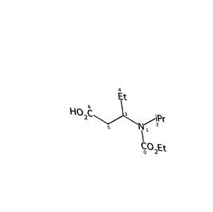 CCOC(=O)N(C(C)C)C(CC)CC(=O)O